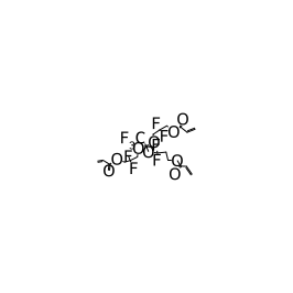 C=CC(=O)OCCC(F)(F)OC(OCC(F)(F)COC(=O)C=C)(OCC(F)(F)COC(=O)C=C)C(F)(F)F